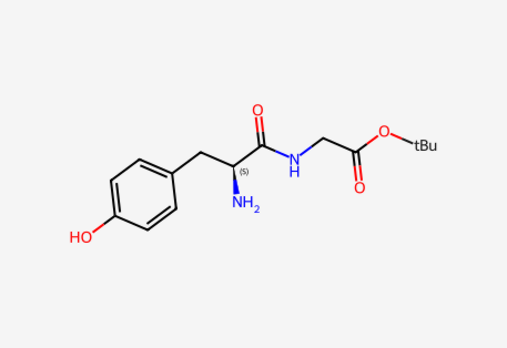 CC(C)(C)OC(=O)CNC(=O)[C@@H](N)Cc1ccc(O)cc1